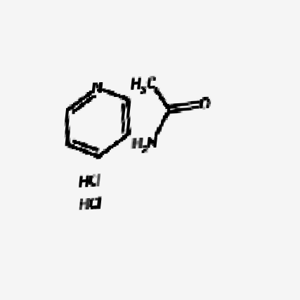 CC(N)=O.Cl.Cl.c1ccncc1